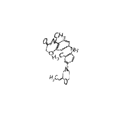 CCC1CN(c2ccc(Nc3ccc4c(c3)OCC(=O)N4C)c(C)c2)CCO1